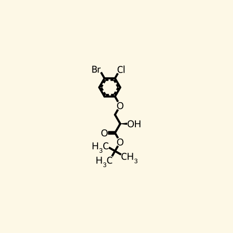 CC(C)(C)OC(=O)[C@H](O)COc1ccc(Br)c(Cl)c1